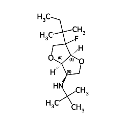 CCC(C)(C)C1(F)CO[C@@H]2[C@H](NC(C)(C)C)CO[C@@H]21